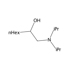 CCCCCCC(O)CN(C(C)C)C(C)C